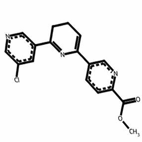 COC(=O)c1ccc(C2=CCCC(c3cncc(Cl)c3)=N2)cn1